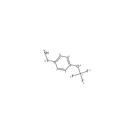 FC(F)(F)Oc1ccc(SS)cc1